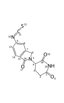 O=C1CCC(N2Cc3cc(N=C=S)ccc3C2=O)C(=O)N1